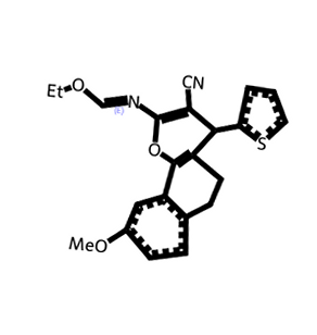 CCO/C=N/C1=C(C#N)C(c2cccs2)C2=C(O1)c1cc(OC)ccc1CC2